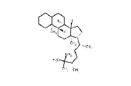 C[C@H](CC[C@H](C)C(C)(C)C)[C@H]1CC[C@H]2[C@@H]3CCC4CCCC[C@]4(C)[C@H]3CC[C@]12C